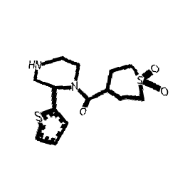 O=C(C1CCS(=O)(=O)CC1)N1CCNCC1c1cccs1